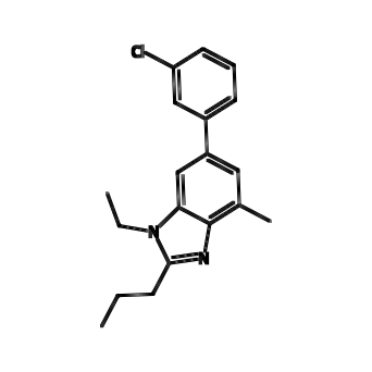 CCCc1nc2c(C)cc(-c3cccc(Cl)c3)cc2n1CC